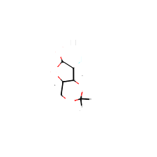 COC1O[C@@H]2COC(C)(C)O[C@@H]2[C@@H]1F